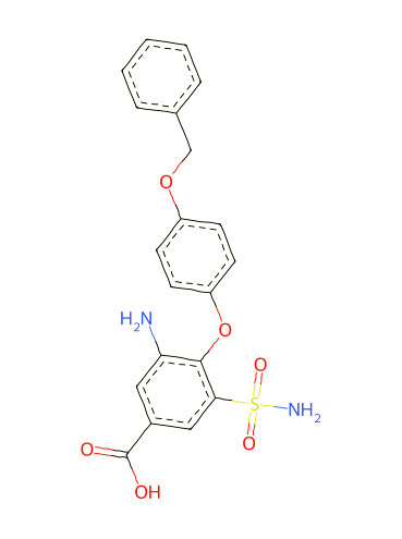 Nc1cc(C(=O)O)cc(S(N)(=O)=O)c1Oc1ccc(OCc2ccccc2)cc1